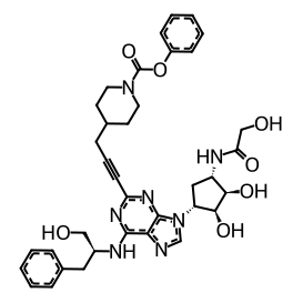 O=C(CO)N[C@H]1C[C@@H](n2cnc3c(N[C@H](CO)Cc4ccccc4)nc(C#CCC4CCN(C(=O)Oc5ccccc5)CC4)nc32)[C@H](O)[C@@H]1O